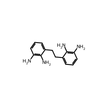 Nc1cccc(CCc2cccc(N)c2N)c1N